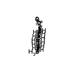 BBBBBBBBBBBBSCC1CC(=O)C1